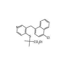 CCOC(=O)C(C)(C)Sc1ccncc1Cc1ccc(Cl)c2ccccc12